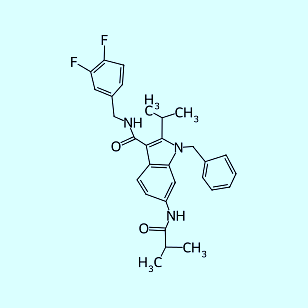 CC(C)C(=O)Nc1ccc2c(C(=O)NCc3ccc(F)c(F)c3)c(C(C)C)n(Cc3ccccc3)c2c1